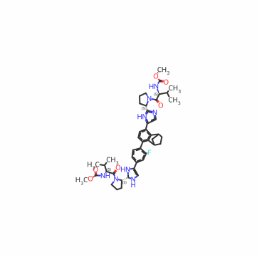 COC(=O)N[C@H](C(=O)N1CCC[C@H]1c1ncc(-c2ccc(-c3ccc(C4=CNC([C@@H]5CCCN5C(=O)[C@@H](NC(=O)OC)C(C)C)N4)cc3F)c3c2C2CCC3C2)[nH]1)C(C)C